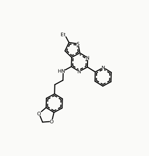 CCc1cc2c(NCCc3ccc4c(c3)OCO4)nc(-c3ccccn3)nc2s1